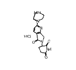 Cl.O=C1CCC(N2Cc3nc(N4CCNCC4)ccc3C2=O)C(=O)N1